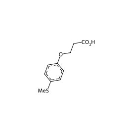 CSc1ccc(OCCC(=O)O)cc1